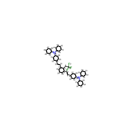 FC(F)(F)Cc1c(/C=C/c2ccc(N(c3ccccc3)c3ccccc3)cc2)cccc1/C=C/c1ccc(N(c2ccccc2)c2ccccc2)cc1